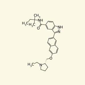 CCN1CCC[C@H]1COc1ccc2cc(-c3n[nH]c4ccc(C(=O)NC(C)(C)CC)cc34)ccc2c1